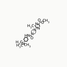 COC(=O)c1cnc(N2CCN(C(=O)Nc3ccc([Si](C)(C)C)cc3)CC2)c(C)n1